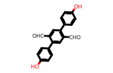 O=Cc1cc(-c2ccc(O)cc2)c(C=O)cc1-c1ccc(O)cc1